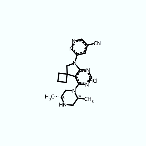 C[C@@H]1CN(c2ncnc3c2C2(CCC2)CN3c2cc(C#N)cnn2)[C@@H](C)CN1.Cl